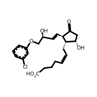 O=C(O)CCC/C=C\C[C@H]1[C@@H](O)CC(=O)[C@@H]1/C=C/[C@H](O)COc1cccc(Cl)c1